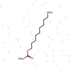 CCCCCCCCCCCCCCCCCCCOC(=O)CCCCCC